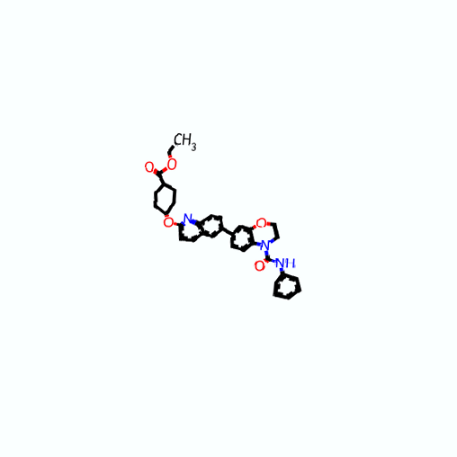 CCOC(=O)C1CCC(Oc2ccc3cc(-c4ccc5c(c4)OCCN5C(=O)Nc4ccccc4)ccc3n2)CC1